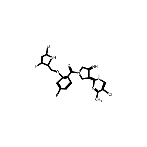 CCC1CC(F)C(COc2cc(F)ccc2C(=O)N2CC(=N)/C(=C3/N=C(C)C(Cl)=CN3)C2)N1